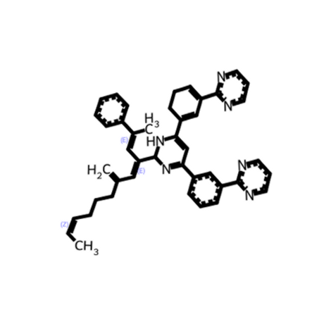 C=C(/C=C(\C=C(/C)c1ccccc1)C1N=C(c2cccc(-c3ncccn3)c2)C=C(C2=CC(c3ncccn3)=CCC2)N1)CCC/C=C\C